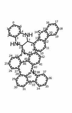 c1ccc2c(c1)NC(c1cccc3c1sc1ccccc13)C(n1c3cccc4c5cccc6c7ccccc7n(c7cccc1c7c43)c56)N2